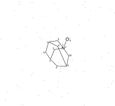 [O-][N+]12CC3CC(CC(C3)C1)C2